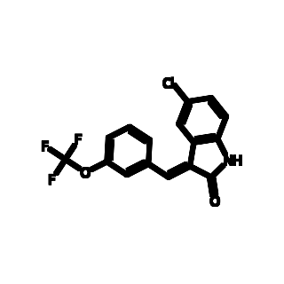 O=C1Nc2ccc(Cl)cc2/C1=C\c1cccc(OC(F)(F)F)c1